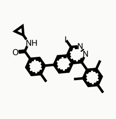 Cc1cc(C)c(-c2nnc(I)c3cc(-c4cc(C(=O)NC5CC5)ccc4C)ccc23)c(C)c1